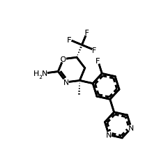 C[C@@]1(c2cc(-c3cncnc3)ccc2F)C[C@@H](C(F)(F)F)OC(N)=N1